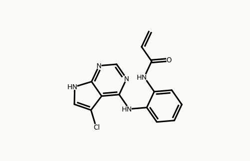 C=CC(=O)Nc1ccccc1Nc1ncnc2[nH]cc(Cl)c12